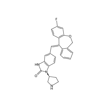 O=c1[nH]c2cc(/C=C3\c4ccccc4COc4cc(F)ccc43)ccc2n1[C@H]1CCNC1